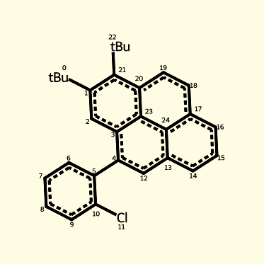 CC(C)(C)c1cc2c(-c3ccccc3Cl)cc3cccc4ccc(c1C(C)(C)C)c2c43